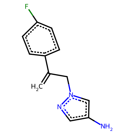 C=C(Cn1cc(N)cn1)c1ccc(F)cc1